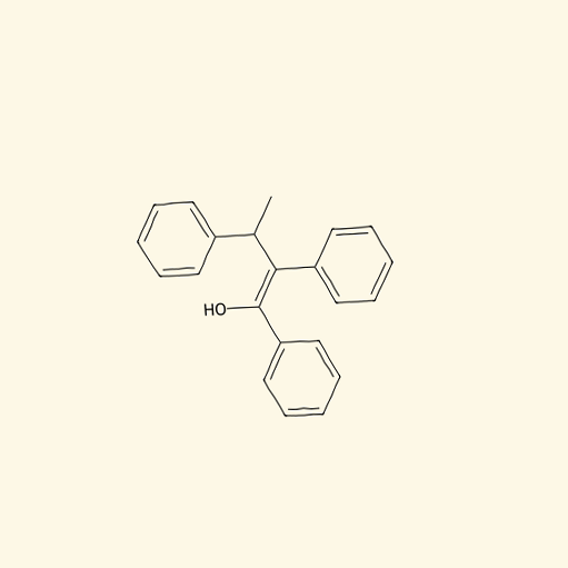 CC(C(=C(O)c1ccccc1)c1ccccc1)c1ccccc1